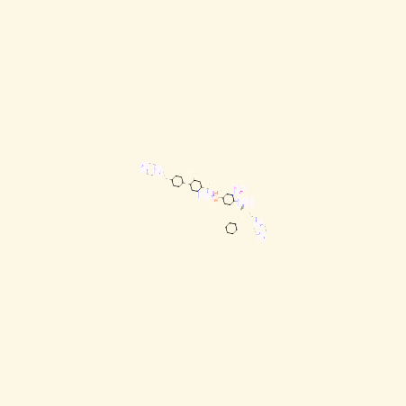 COc1cc(C(=O)NS(=O)(=O)c2ccc(N[C@H](CCCN3CCN(C)CC3)CSc3ccccc3)c([N+](=O)[O-])c2)ccc1-c1ccc(CCN2CCN(C)CC2)cc1